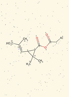 CC(=O)CC(=O)OC(=O)C1C(/C=C(\C)C(=O)O)C1(C)C